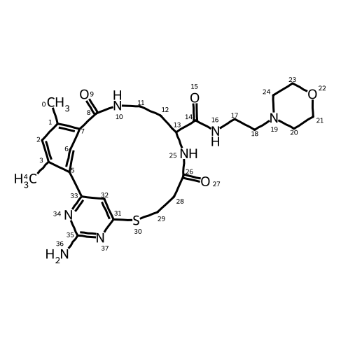 Cc1cc(C)c2cc1C(=O)NCCC(C(=O)NCCN1CCOCC1)NC(=O)CCSc1cc-2nc(N)n1